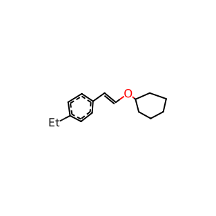 CCc1ccc(C=COC2CCCCC2)cc1